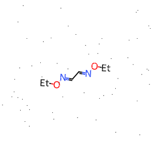 CCO/N=C/C=N/OCC